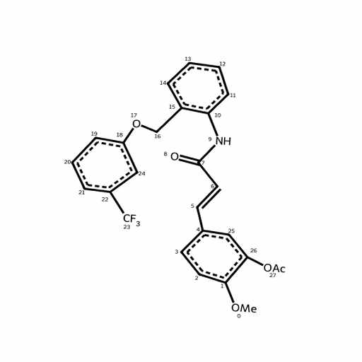 COc1ccc(C=CC(=O)Nc2ccccc2COc2cccc(C(F)(F)F)c2)cc1OC(C)=O